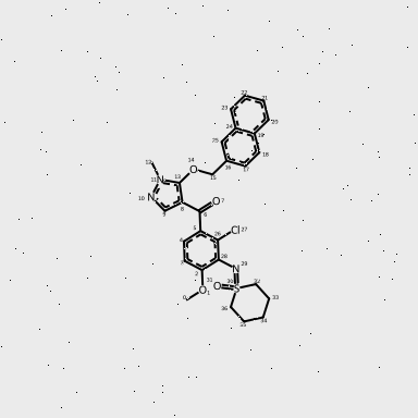 COc1ccc(C(=O)c2cnn(C)c2OCc2ccc3ccccc3c2)c(Cl)c1N=S1(=O)CCCCC1